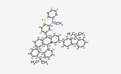 CN1c2ccccc2Sc2ccc(-c3c4ccccc4c(-c4cccc5c4-c4ccccc4C5(C)C)c4cc(-c5ccc6c(c5)C(C)(C)c5ccccc5-6)ccc34)cc21